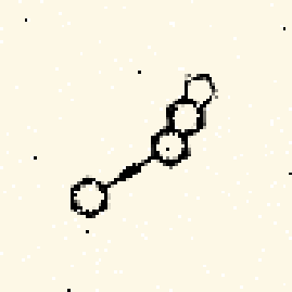 C(#Cc1ccc2cc3c(cc2c1)OCO3)c1ccccc1